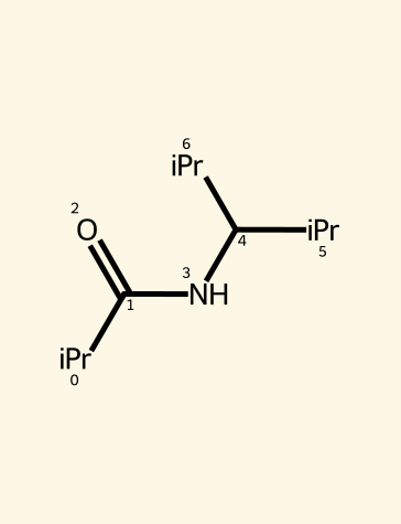 CC(C)C(=O)NC(C(C)C)C(C)C